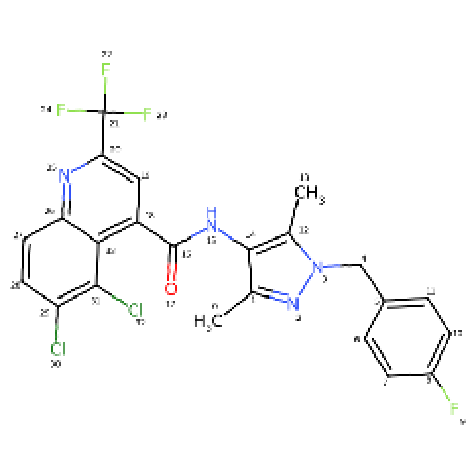 Cc1nn(Cc2ccc(F)cc2)c(C)c1NC(=O)c1cc(C(F)(F)F)nc2ccc(Cl)c(Cl)c12